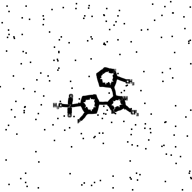 Cc1ncccc1-c1[nH]c(C(F)(F)F)nc1-c1ccc(S(C)(=O)=O)c(F)c1